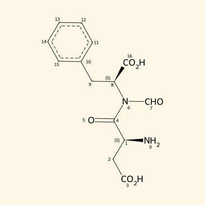 N[C@@H](CC(=O)O)C(=O)N(C=O)[C@@H](Cc1ccccc1)C(=O)O